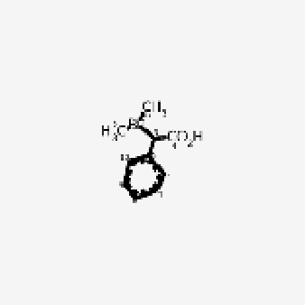 [CH3][Bi]([CH3])[CH](C(=O)O)c1ccccc1